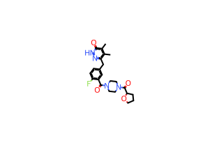 Cc1c(Cc2ccc(F)c(C(=O)N3CCN(C(=O)C4CCCO4)CC3)c2)n[nH]c(=O)c1C